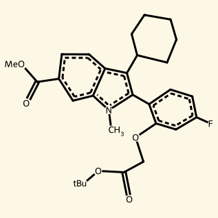 COC(=O)c1ccc2c(C3CCCCC3)c(-c3ccc(F)cc3OCC(=O)OC(C)(C)C)n(C)c2c1